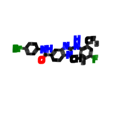 Cn1c(Nc2ccc(F)cc2C(F)(F)F)nc2cc(C(=O)Nc3ccc(Br)cc3)ccc21